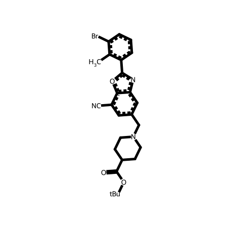 Cc1c(Br)cccc1-c1nc2cc(CN3CCC(C(=O)OC(C)(C)C)CC3)cc(C#N)c2o1